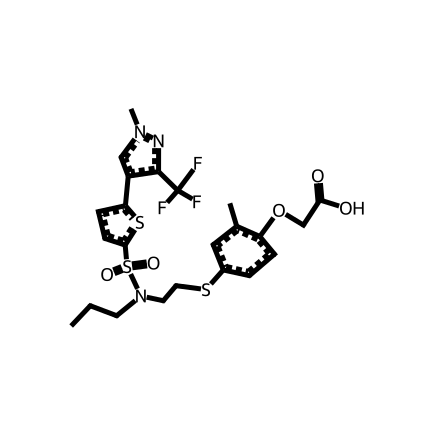 CCCN(CCSc1ccc(OCC(=O)O)c(C)c1)S(=O)(=O)c1ccc(-c2cn(C)nc2C(F)(F)F)s1